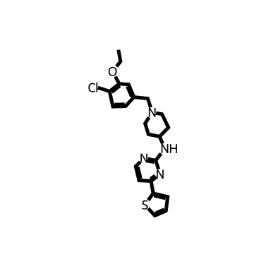 CCOc1cc(CN2CCC(Nc3nccc(-c4cccs4)n3)CC2)ccc1Cl